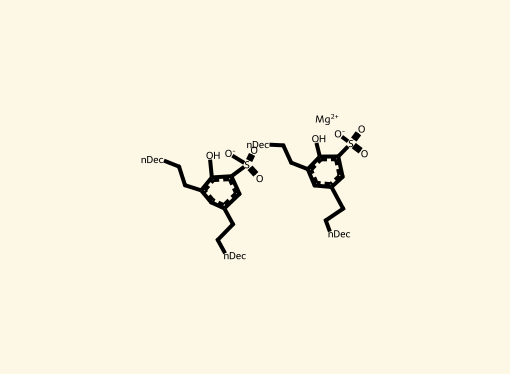 CCCCCCCCCCCCc1cc(CCCCCCCCCCCC)c(O)c(S(=O)(=O)[O-])c1.CCCCCCCCCCCCc1cc(CCCCCCCCCCCC)c(O)c(S(=O)(=O)[O-])c1.[Mg+2]